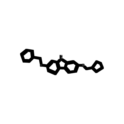 c1ccc(COc2ccc3c(c2)[nH]c2cc(OCC4CCCC4)ccc23)cc1